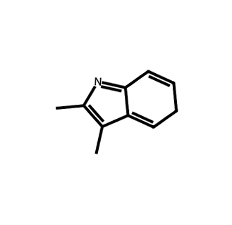 CC1=C(C)C2=CCC=CC2=N1